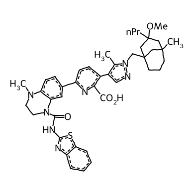 CCCC1(OC)CC2(C)CCCC(Cn3ncc(-c4ccc(-c5ccc6c(c5)N(C(=O)Nc5nc7ccccc7s5)CCN6C)nc4C(=O)O)c3C)(C2)C1